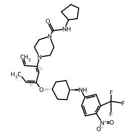 C=C/C(=C\C(=C/C)O[C@H]1CC[C@H](Nc2ccc([N+](=O)[O-])c(C(F)(F)F)c2)CC1)N1CCN(C(=O)NC2CCCC2)CC1